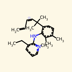 C=C/C=C\C(C)(C)c1ccc(C)c(C)c1Nc1c(CC)ccc[n+]1C